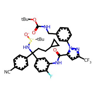 CC(C)(C)OC(=O)NCc1cccc(-n2nc(C(F)(F)F)cc2C(=O)Nc2cc(C(CCC3CC3)(N[S@+]([O-])C(C)(C)C)c3ccc(C#N)cc3)ccc2F)c1